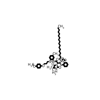 CCCCCCCCCCCCCCCCCCN1C(C(C(=O)Nc2cc(C)ccc2SCCCOc2ccc(OC)cc2)N2C(=O)NC(C)(C)C2=O)=Nc2ccccc2S1(=O)=O